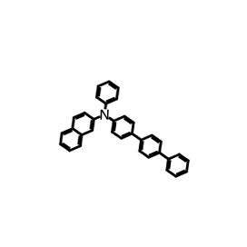 c1ccc(-c2ccc(-c3ccc(N(c4ccccc4)c4ccc5ccccc5c4)cc3)cc2)cc1